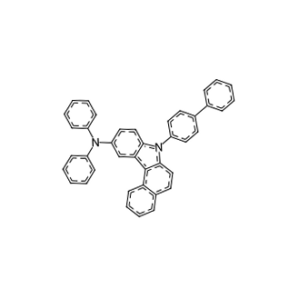 c1ccc(-c2ccc(-n3c4ccc(N(c5ccccc5)c5ccccc5)cc4c4c5ccccc5ccc43)cc2)cc1